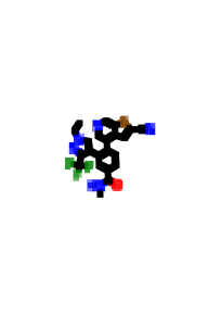 CCn1cc(-c2cc(C(=O)NC)ccc2-c2cncc3sc(C#N)cc23)c(C(F)(F)F)n1